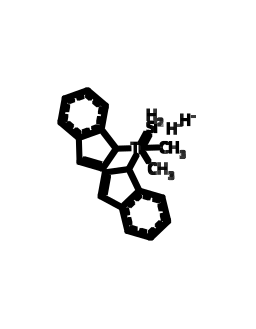 [CH3][Ti]([CH3])(=[SiH2])([CH]1C=Cc2ccccc21)[CH]1C=Cc2ccccc21.[H-].[H-]